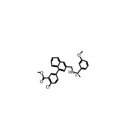 COC(=O)c1cc(-c2cc(CN[C@H](C)c3cccc(OC)c3)cc3ccccc23)ccc1Cl